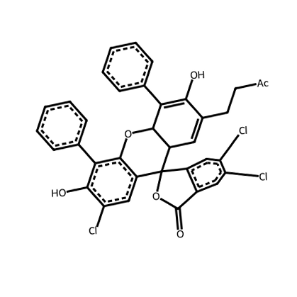 CC(=O)CCC1=CC2C(Oc3c(cc(Cl)c(O)c3-c3ccccc3)C23OC(=O)c2cc(Cl)c(Cl)cc23)C(c2ccccc2)=C1O